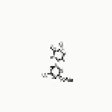 COc1nc(Cl)nc(-c2ccc(Cl)c(C)c2)n1